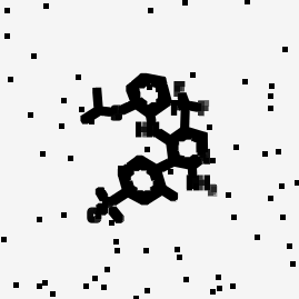 Cc1cc(P(C)(C)=O)ccc1-c1c(N)ncc(C(F)(F)F)c1Nc1ccccc1SC(C)C